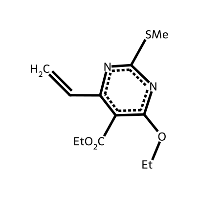 C=Cc1nc(SC)nc(OCC)c1C(=O)OCC